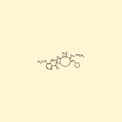 C=CCO[C@@H]1[C@@H](CC2CCCC2)CCCC[C@H](NC(=O)c2nccc(OC)c2O)C(=O)O[C@H]1C